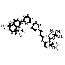 CC(C)(C)OC(=O)N1[C@H](CCCCN2CCN(c3cccc(-c4ccc5c(c4)C(C)(C)CCC5(C)C)n3)CC2)COC1(C)C